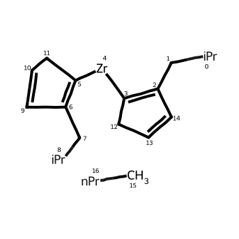 CC(C)CC1=[C]([Zr][C]2=C(CC(C)C)C=CC2)CC=C1.CCCC